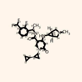 C[C@@H](NC(=O)c1cn([C@@H]2C[C@H]2C2CC2)c(=O)cc1NC1[C@H]2CN(C)C[C@@H]12)c1cccc(C(F)F)c1F